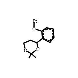 CCOc1ccccc1C1CCOC(C)(C)O1